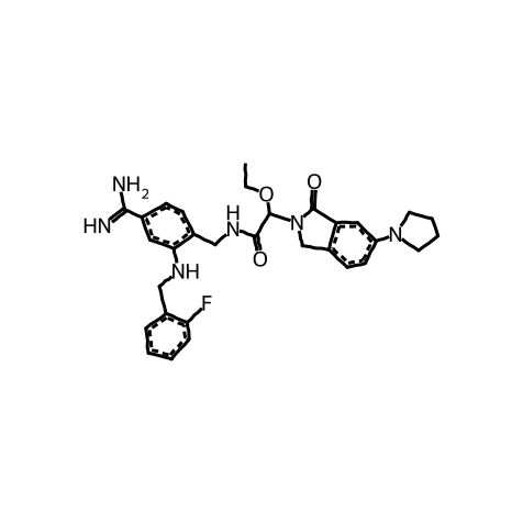 CCOC(C(=O)NCc1ccc(C(=N)N)cc1NCc1ccccc1F)N1Cc2ccc(N3CCCC3)cc2C1=O